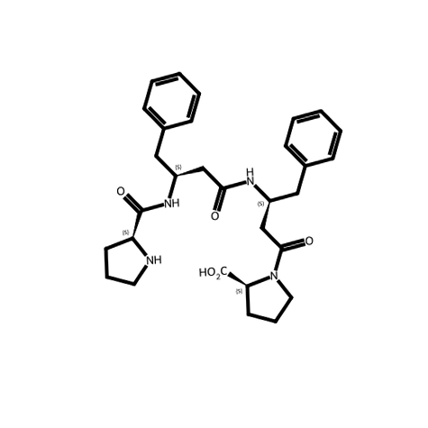 O=C(C[C@H](Cc1ccccc1)NC(=O)[C@@H]1CCCN1)N[C@H](CC(=O)N1CCC[C@H]1C(=O)O)Cc1ccccc1